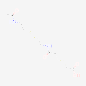 CC(=O)NCCSSCCNC(=O)CCSCC(=O)O